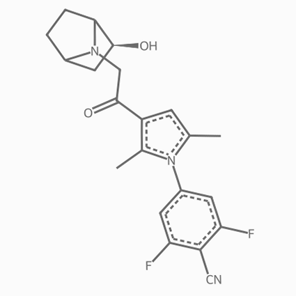 Cc1cc(C(=O)CN2C3CCC2[C@@H](O)C3)c(C)n1-c1cc(F)c(C#N)c(F)c1